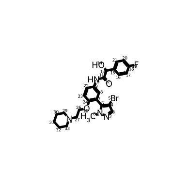 Cn1ncc(Br)c1-c1cc(NC(=O)C(O)c2ccc(F)cc2)ccc1OCCN1CCCCC1